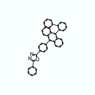 c1ccc(-c2nnc(-c3ccc(-c4c5ccccc5c(-c5ccccc5-c5ccccc5)c5ccccc45)cc3)o2)cc1